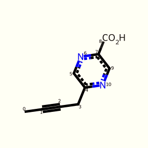 CC#CCc1cnc(C(=O)O)cn1